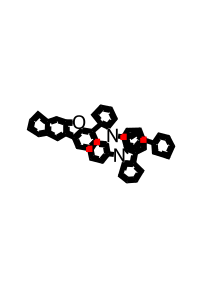 c1ccc(-c2ccc(N(c3ccccc3-c3cccc4c3oc3cc5ccccc5cc34)c3ccccc3-n3c4ccccc4c4ccccc43)cc2)cc1